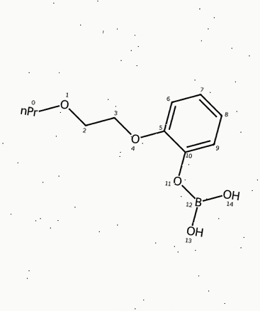 CCCOCCOc1ccccc1OB(O)O